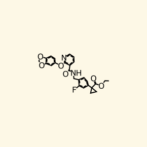 CCOC(=O)C1(c2ccc(CNC(=O)c3cccnc3Oc3ccc4c(c3)OCO4)c(F)c2)CC1